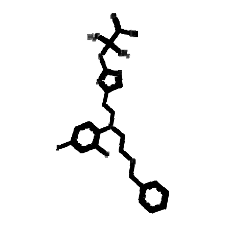 CC(C)(Sc1nc(CCN(CCOCc2ccccc2)c2ccc(F)cc2F)cs1)C(=O)O